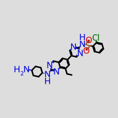 CCc1cc(-c2cnc(NS(=O)(=O)c3ccccc3Cl)nc2)cc2cnc(N[C@H]3CC[C@H](N)CC3)nc12